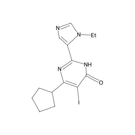 CCn1cncc1-c1nc(C2CCCC2)c(I)c(=O)[nH]1